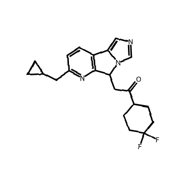 O=C(CC1c2nc(CC3CC3)ccc2-c2cncn21)C1CCC(F)(F)CC1